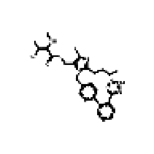 CCCCc1nc(Cl)c(COC(=O)C(NC)C(C)O)n1Cc1ccc(-c2ccccc2-c2nn[nH]n2)cc1